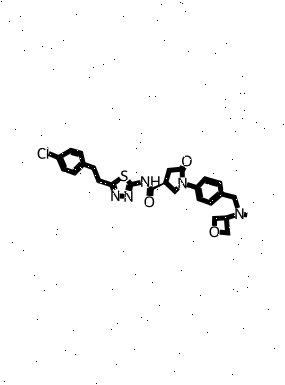 CN(Cc1ccc(N2C[C@@H](C(=O)Nc3nnc(CCc4ccc(Cl)cc4)s3)CC2=O)cc1)C1COC1